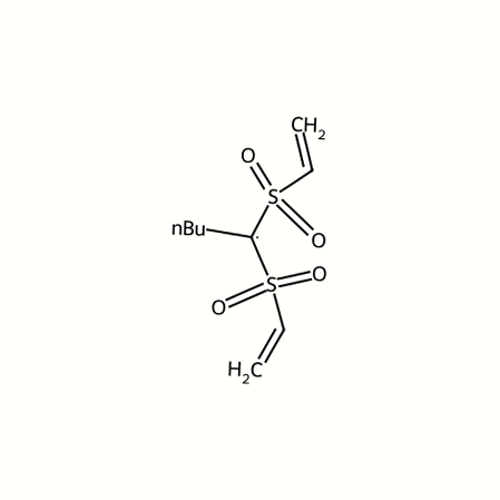 C=CS(=O)(=O)[C](CCCC)S(=O)(=O)C=C